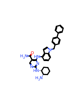 NC(=O)c1cnc(N[C@@H]2CCCC[C@@H]2N)nc1Nc1cccc2c1ccn2Cc1ccc(-c2ccccc2)cc1